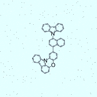 c1ccc2c(-n3c4ccccc4c4ccccc43)ccc(-c3ccc4c(c3)-n3c5ccccc5c5cccc(c53)O4)c2c1